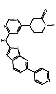 CN1CCC(c2ccnc(Nc3nc4ccc(-c5ccncc5)nc4s3)c2)CC1=O